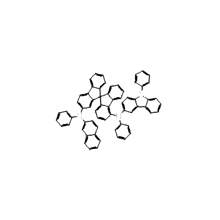 c1ccc(N(c2ccc3c(c2)C2(c4ccccc4-3)c3ccccc3-c3c(N(c4ccccc4)c4ccc5c(c4)c4ccccc4n5-c4ccccc4)cccc32)c2ccc3ccccc3c2)cc1